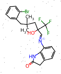 CC(C)(Cc1ccccc1Br)CC(O)(/C=N/c1cccc2c1NC(=O)C2)C(F)(F)F